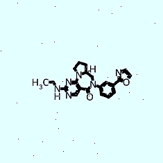 CCNc1ncc2c(n1)N1CCC[C@H]1CN(c1cccc(-c3ncco3)c1)C2=O